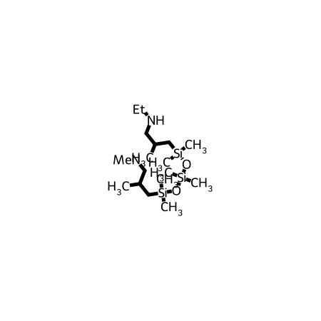 CCNCC(C)C[Si](C)(C)O[Si](C)(C)O[Si](C)(C)CC(C)CNC